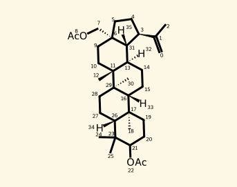 C=C(C)[C@@H]1CC[C@]2(COC(C)=O)CC[C@]3(C)[C@H](CC[C@@H]4[C@@]5(C)CCC(OC(C)=O)C(C)(C)[C@@H]5CC[C@]43C)[C@@H]12